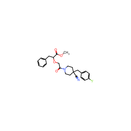 COC(=O)C(Cc1ccccc1)OCC(=O)N1CCC(C#N)(Cc2ccc(F)cc2)CC1